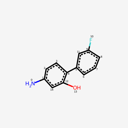 Nc1ccc(-c2cccc(F)c2)c(O)c1